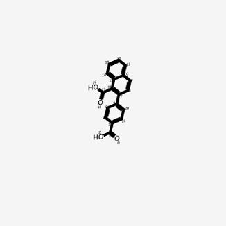 O=C(O)c1ccc(-c2ccc3ccccc3c2C(=O)O)cc1